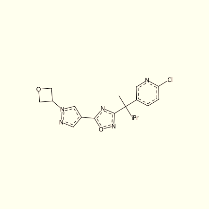 CC(C)C(C)(c1ccc(Cl)nc1)c1noc(-c2cnn(C3COC3)c2)n1